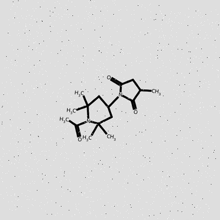 CC(=O)N1C(C)(C)CC(N2C(=O)CC(C)C2=O)CC1(C)C